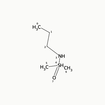 CCCN[SH](C)(C)=O